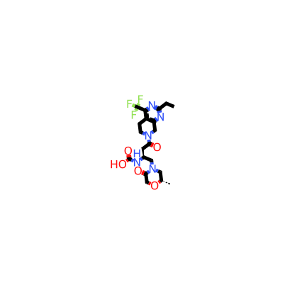 CCc1nc2c(c(C(F)(F)F)n1)CCN(C(=O)C[C@@H](CN1C[C@H](C)OCC1=O)NC(=O)O)C2